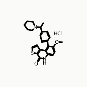 COc1ccc2[nH]c(=O)c3sccc3c2c1-c1ccc(C(C)N2CCCCC2)cc1.Cl